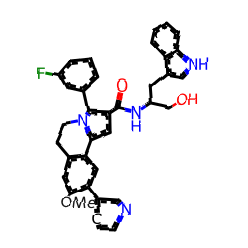 COc1cc2c(cc1-c1cccnc1)-c1cc(C(=O)NC(CO)Cc3c[nH]c4ccccc34)c(-c3cccc(F)c3)n1CC2